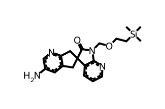 C[Si](C)(C)CCOCN1C(=O)C2(Cc3cc(N)cnc3C2)c2cccnc21